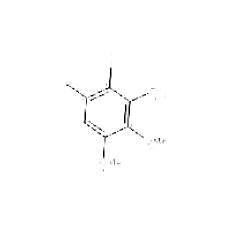 COc1cc(I)c(I)c(C)c1OC